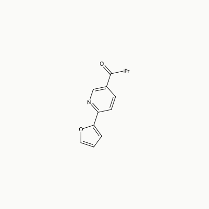 CC(C)C(=O)c1ccc(-c2ccco2)nc1